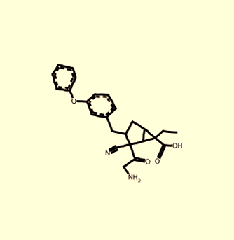 CCC1(C(=O)O)C2CC(Cc3cccc(Oc4ccccc4)c3)C(C#N)(C(=O)CN)C21